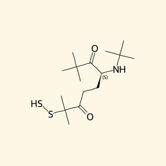 CC(C)(C)N[C@@H](CCC(=O)C(C)(C)SS)C(=O)C(C)(C)C